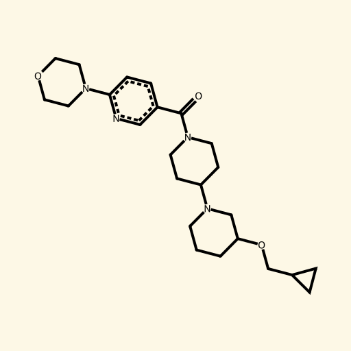 O=C(c1ccc(N2CCOCC2)nc1)N1CCC(N2CCCC(OCC3CC3)C2)CC1